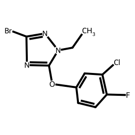 CCn1nc(Br)nc1Oc1ccc(F)c(Cl)c1